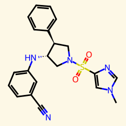 Cn1cnc(S(=O)(=O)N2C[C@H](Nc3cccc(C#N)c3)[C@@H](c3ccccc3)C2)c1